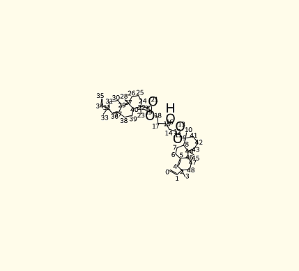 C=CC1(C)C=C2CCC3C(C)(OC(=O)CC(O)CCOC(=O)C4(C)CCCC5(C)C6CCC(C)(C=C)C=C6CCC45)CCCC3(C)C2CC1